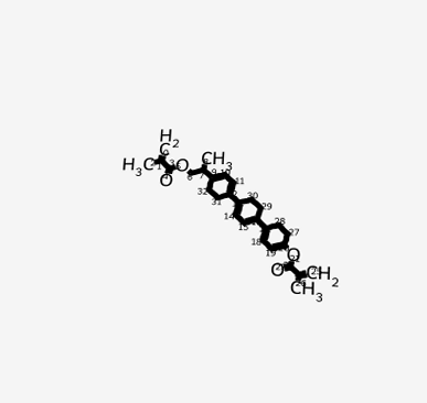 C=C(C)C(=O)OCC(C)C1=CC=C(C2=CC=C(C3=CC=C(OC(=O)C(=C)C)CC3)CC2)CC1